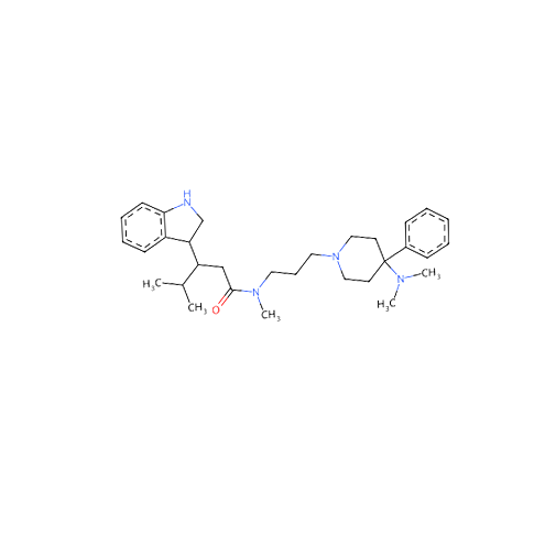 CC(C)C(CC(=O)N(C)CCCN1CCC(c2ccccc2)(N(C)C)CC1)C1CNc2ccccc21